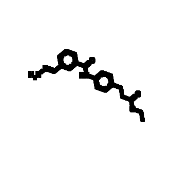 CCOC(=O)CCc1ccc(NC(=O)c2cccc(C=NN)c2)cc1